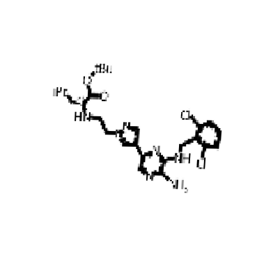 CC(C)C[C@H](NCCn1cc(-c2cnc(N)c(NCc3c(Cl)cccc3Cl)n2)cn1)C(=O)OC(C)(C)C